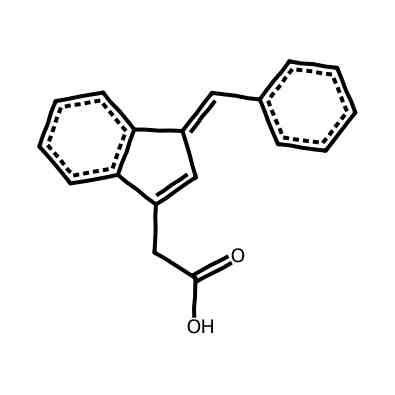 O=C(O)CC1=C/C(=C\c2ccccc2)c2ccccc21